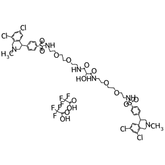 CN1Cc2c(Cl)cc(Cl)cc2C(c2ccc(S(=O)(=O)NCCOCCOCCNC(=O)C(O)C(=O)NCCOCCOCCNS(=O)(=O)c3ccc(C4CN(C)Cc5c(Cl)cc(Cl)cc54)cc3)cc2)C1.O=C(O)C(F)(F)F.O=C(O)C(F)(F)F